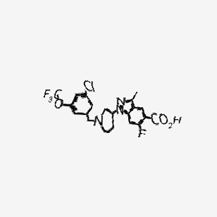 Cc1nn(C2CCN(Cc3cc(Cl)cc(OC(F)(F)F)c3)C2)c2cc(F)c(C(=O)O)cc12